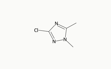 Cc1nc(Cl)nn1C